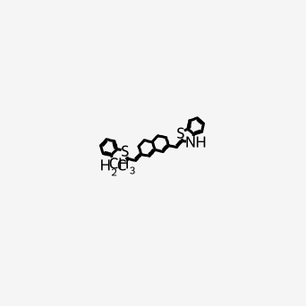 C=C(/C=C1/C=C2C=C(/C=C3/Nc4ccccc4S3)CCC2CC1)Sc1ccccc1C